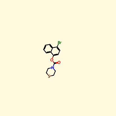 O=C(Oc1ccc(Br)c2ccccc12)N1CCSCC1